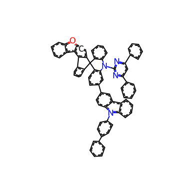 c1ccc(-c2ccc(-n3c4ccccc4c4cc(-c5ccc6c(c5)N(c5nc(-c7ccccc7)cc(-c7ccccc7)n5)c5ccccc5C65c6ccccc6-c6c5ccc5oc7ccccc7c65)ccc43)cc2)cc1